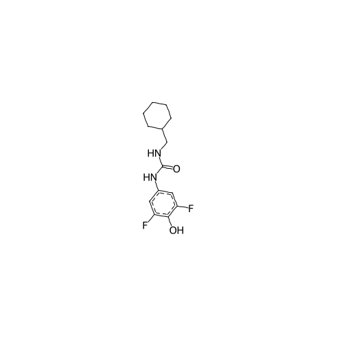 O=C(NCC1CCCCC1)Nc1cc(F)c(O)c(F)c1